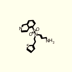 NCC=CN(CCc1cccs1)S(=O)(=O)c1cccc2cnccc12